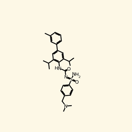 Cc1cccc(-c2cc(C(C)C)c(NC(=O)N=S(N)(=O)c3ccc(CN(C)C)cc3)c(C(C)C)c2)c1